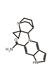 NC(=O)C1=CC2NC=CC2=CN1C1C2CCN(CC2)C12CC2